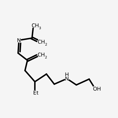 C=C(/C=N\C(=C)C)CC(CC)CCNCCO